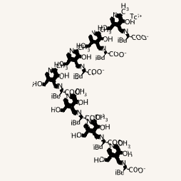 CC[C@H](C)[C@H](N=Cc1c(CO)cnc(C)c1O)C(=O)[O-].CC[C@H](C)[C@H](N=Cc1c(CO)cnc(C)c1O)C(=O)[O-].CC[C@H](C)[C@H](N=Cc1c(CO)cnc(C)c1O)C(=O)[O-].CC[C@H](C)[C@H](N=Cc1c(CO)cnc(C)c1O)C(=O)[O-].CC[C@H](C)[C@H](N=Cc1c(CO)cnc(C)c1O)C(=O)[O-].CC[C@H](C)[C@H](N=Cc1c(CO)cnc(C)c1O)C(=O)[O-].CC[C@H](C)[C@H](N=Cc1c(CO)cnc(C)c1O)C(=O)[O-].[Tc+7]